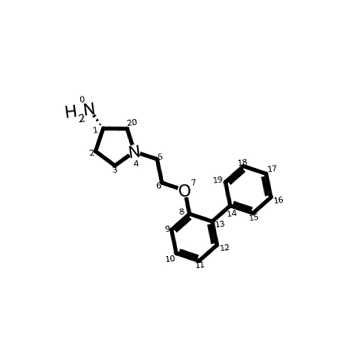 N[C@H]1CCN(CCOc2ccccc2-c2ccccc2)C1